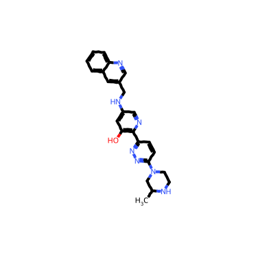 CC1CN(c2ccc(-c3ncc(NCc4cnc5ccccc5c4)cc3O)nn2)CCN1